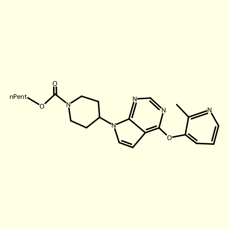 CCCCCOC(=O)N1CCC(n2ccc3c(Oc4cccnc4C)ncnc32)CC1